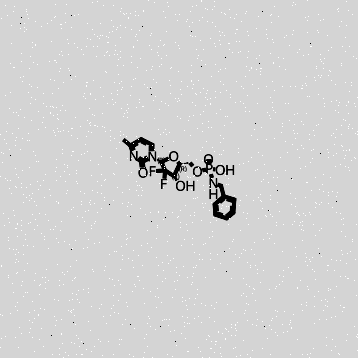 Cc1ccn([C@@H]2O[C@H](COP(=O)(O)NCc3ccccc3)[C@@H](O)C2(F)F)c(=O)n1